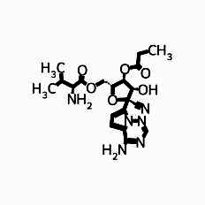 CCC(=O)O[C@H]1[C@@H](O)[C@](C#N)(c2ccc3c(N)ncnn23)O[C@@H]1COC(=O)[C@@H](N)C(C)C